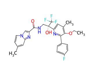 CCOc1c(C)cc([C@@](O)(CNC(=O)c2cn3ccc(C)cc3n2)C(F)(F)F)nc1-c1ccc(F)cc1